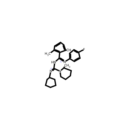 Cc1cccc(C)c1/C(=N\c1ccc(F)cc1)N/C(=N/C1CCCCC1)N1CCCCC1C